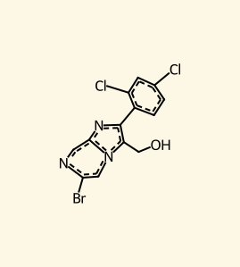 OCc1c(-c2ccc(Cl)cc2Cl)nc2cnc(Br)cn12